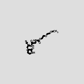 COCCOCCOC(=O)NCC(=O)N[C@H](C#N)C[C@@H]1CCNC1=O